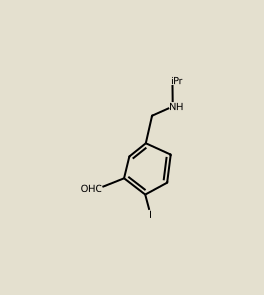 CC(C)NCc1ccc(I)c(C=O)c1